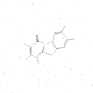 CCCCc1c(C)c(C#N)c2[nH]c3cc(C)c(C)cc3n2c1=O